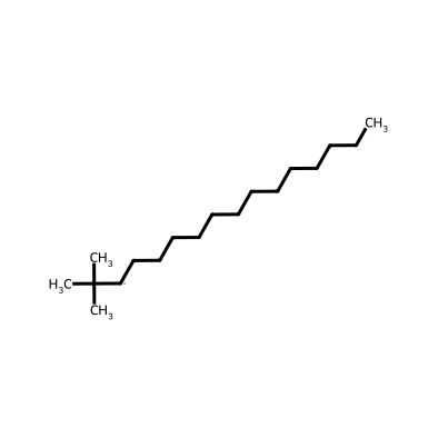 CCCCCCCCCCCCC[CH]C(C)(C)C